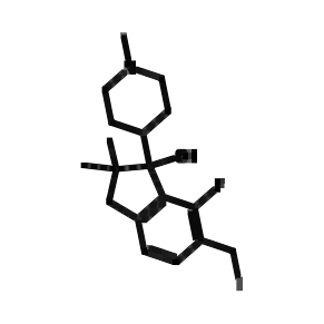 CN1CCC(C2(O)c3c(ccc(CI)c3F)CC2(C)C)CC1